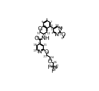 COc1ncc(-c2cccc3c2C[C@H](NC(=O)c2ccnc(OCCOCC(F)(F)F)c2)CO3)cn1